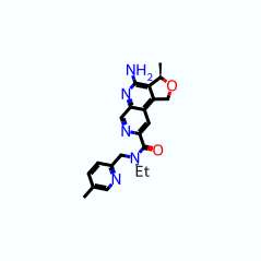 CCN(Cc1ccc(C)cn1)C(=O)c1cc2c3c(c(N)nc2cn1)[C@@H](C)OC3